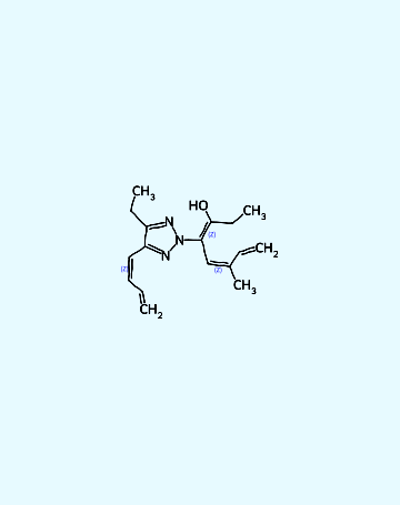 C=C/C=C\c1nn(C(/C=C(/C)C=C)=C(\O)CC)nc1CC